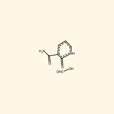 NC(=O)c1ccc[nH]c1=O.O=CO